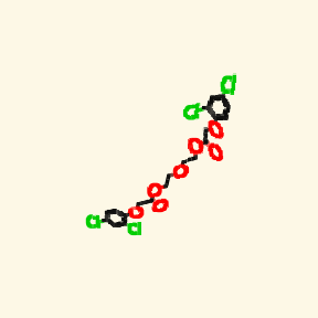 O=C(COc1ccc(Cl)cc1Cl)OCCOCCOC(=O)COc1ccc(Cl)cc1Cl